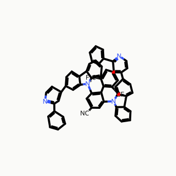 N#Cc1cc(-n2c3ccccc3c3ccc(-c4ccnc(-c5ccccc5)c4)cc32)c(-c2c(C(F)(F)F)cccc2C(F)(F)F)c(-n2c3ccccc3c3ccc(-c4ccnc(-c5ccccc5)c4)cc32)c1